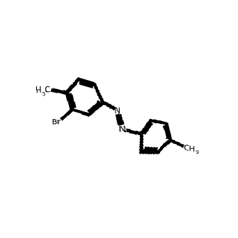 Cc1ccc(N=Nc2ccc(C)c(Br)c2)cc1